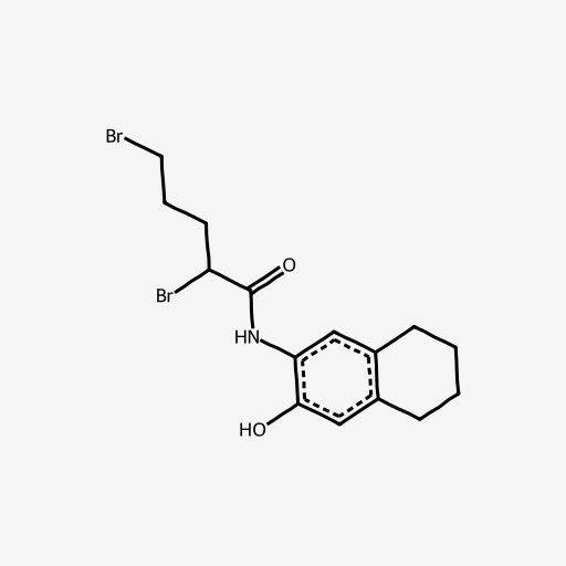 O=C(Nc1cc2c(cc1O)CCCC2)C(Br)CCCBr